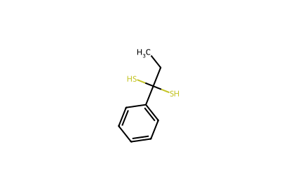 CCC(S)(S)c1ccccc1